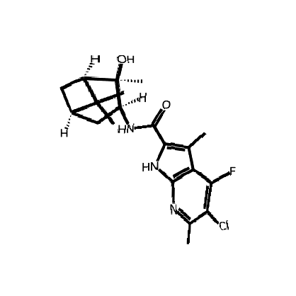 Cc1nc2[nH]c(C(=O)N[C@H]3C[C@H]4C[C@H](C4(C)C)[C@@]3(C)O)c(C)c2c(F)c1Cl